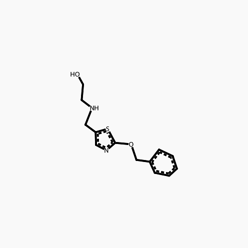 OCCNCc1cnc(OCc2ccccc2)s1